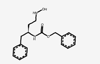 O=C(N[C@H](CCNO)Cc1ccccc1)OCc1ccccc1